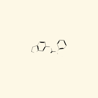 CN(C(=O)Oc1ccc2c(c1)OCC2)c1ccccc1